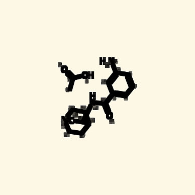 CC(=O)O.Nc1cccc(C(=O)NC2CN3CCC2CC3)c1